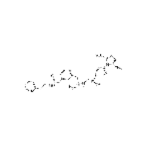 Cc1ccc(C)n1-c1ccc([C@@H](O)CN[C@H](C)Cc2cccc(CC(=O)NCCc3ccccc3)c2)cn1